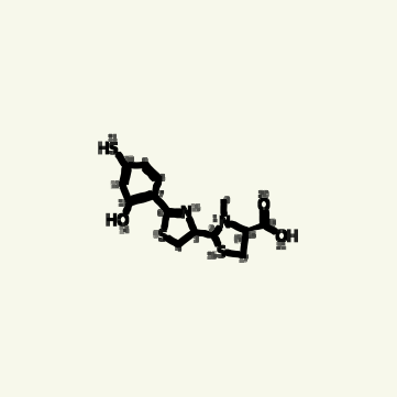 CN1C(C2CSC(c3ccc(S)cc3O)=N2)SC[C@@H]1C(=O)O